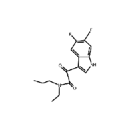 CCCN(CC)C(=O)C(=O)c1c[nH]c2cc(F)c(F)cc12